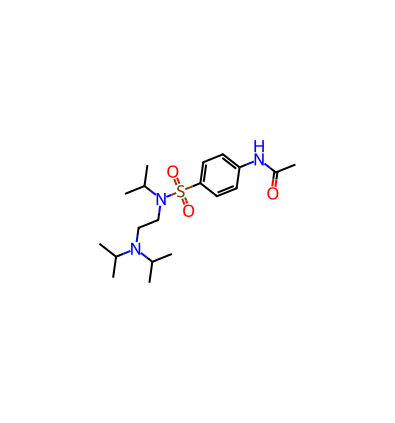 CC(=O)Nc1ccc(S(=O)(=O)N(CCN(C(C)C)C(C)C)C(C)C)cc1